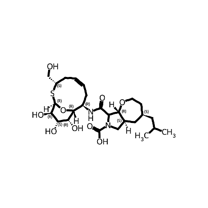 CC(C)C[C@@H]1CCO[C@H]2C(C(=O)N[C@@H]3CC=CC[C@@H](CO)S[C@H]4O[C@H]3[C@H](O)[C@H](O)[C@H]4O)N(C(=O)O)C[C@@H]2C1